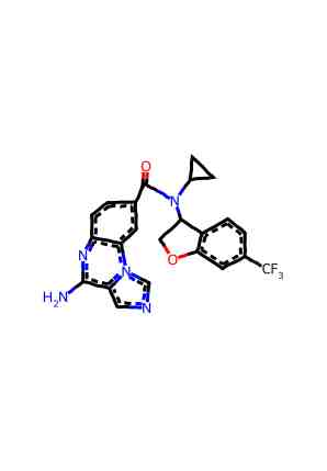 Nc1nc2ccc(C(=O)N(C3CC3)C3COc4cc(C(F)(F)F)ccc43)cc2n2cncc12